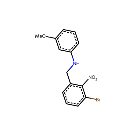 COc1cccc(NCc2cccc(Br)c2[N+](=O)[O-])c1